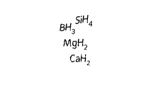 B.[CaH2].[MgH2].[SiH4]